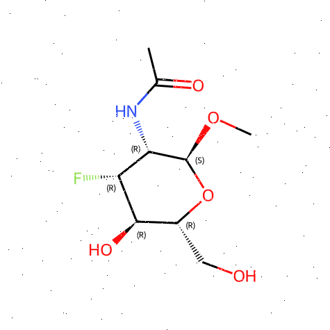 CO[C@H]1O[C@H](CO)[C@@H](O)[C@H](F)[C@@H]1NC(C)=O